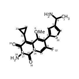 COc1c(-c2cc(C(C)N)cs2)c(F)cn2c(=O)n(N)c(=O)c(C3CC3)c12